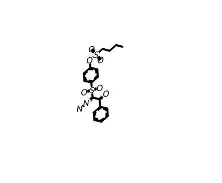 CCCCS(=O)(=O)Oc1ccc(S(=O)(=O)C(=[N+]=[N-])C(=O)c2ccccc2)cc1